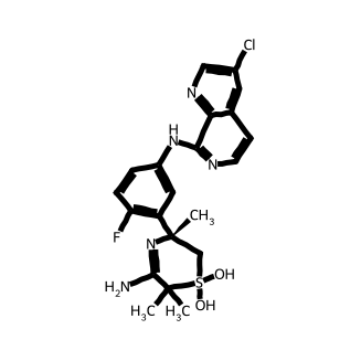 CC1(C)C(N)=N[C@](C)(c2cc(Nc3nccc4cc(Cl)cnc34)ccc2F)CS1(O)O